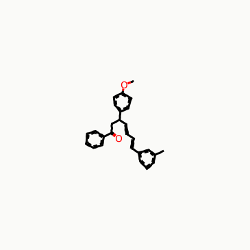 COc1ccc(C(/C=C/C=C/c2cccc(C)c2)CC(=O)c2ccccc2)cc1